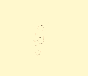 Cc1cn2c(-c3cn[nH]c3)cnc2c(Nc2ccc(CN3CCCCC3)c(C)c2)n1